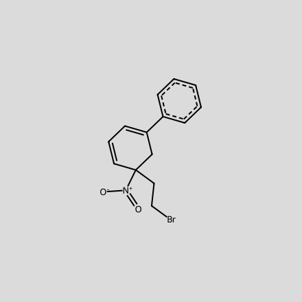 O=[N+]([O-])C1(CCBr)C=CC=C(c2ccccc2)C1